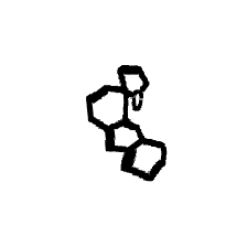 C1=CC2(C=CCc3cc4ccccc4cc32)OC1